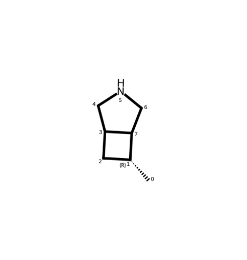 C[C@@H]1CC2CNCC21